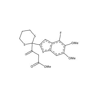 C=C(CC(=O)OC)C1(c2cc3c(F)c(OC)c(OC)cc3s2)SCCCS1